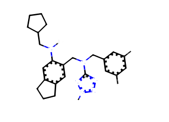 CCN(CC1CCCC1)c1cc2c(cc1CN(Cc1cc(C(F)(F)F)cc(C(F)(F)F)c1)c1nnn(C)n1)CCC2.Cl